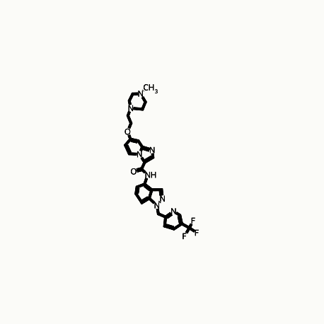 CN1CCN(CCOc2ccn3c(C(=O)Nc4cccc5c4cnn5Cc4ccc(C(F)(F)F)cn4)cnc3c2)CC1